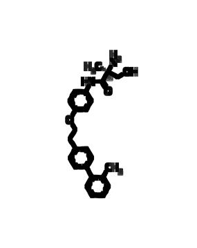 Cc1ccccc1-c1ccc(CCOc2ccc(NC(=O)[C@@](C)(N)CO)cc2)cc1